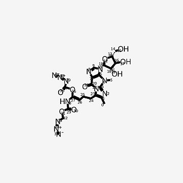 Cc1nc2n(C)c3c(ncn3[C@@H]3O[C@H](CO)C(O)[C@@H]3O)c(=O)n2c1CCC=C(NC(=O)OCN=[N+]=[N-])OC(=O)N=[N+]=[N-]